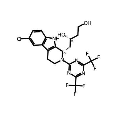 OCC[C@@H](O)C[C@H]1c2[nH]c3ccc(Cl)cc3c2CCN1c1nc(C(F)(F)F)nc(C(F)(F)F)n1